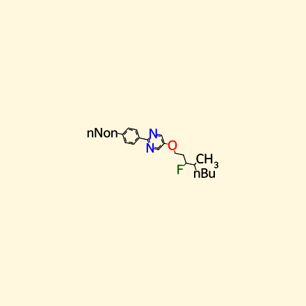 CCCCCCCCCc1ccc(-c2ncc(OCCC(F)C(C)CCCC)cn2)cc1